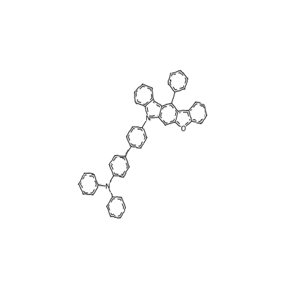 c1ccc(-c2c3c(cc4c2c2ccccc2n4-c2ccc(-c4ccc(N(c5ccccc5)c5ccccc5)cc4)cc2)oc2ccccc23)cc1